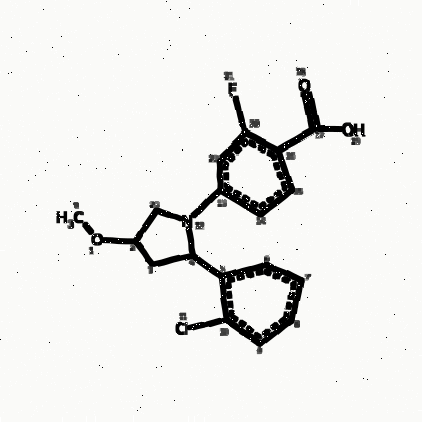 COC1CC(c2ccccc2Cl)N(c2ccc(C(=O)O)c(F)c2)C1